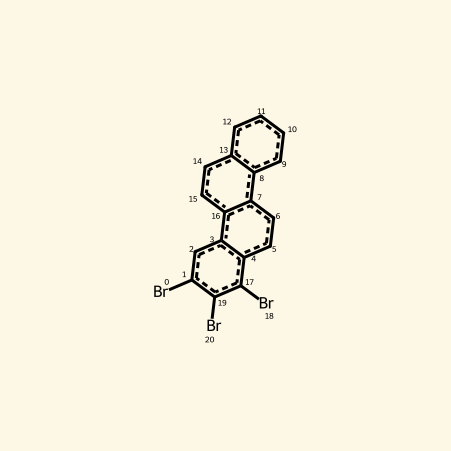 Brc1cc2c(ccc3c4ccccc4ccc23)c(Br)c1Br